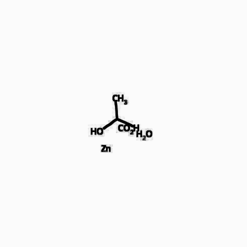 CC(O)C(=O)O.O.[Zn]